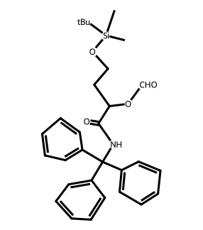 CC(C)(C)[Si](C)(C)OCCC(OC=O)C(=O)NC(c1ccccc1)(c1ccccc1)c1ccccc1